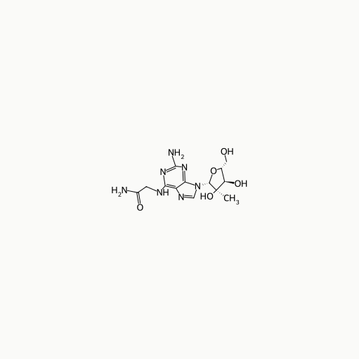 C[C@@]1(O)[C@H](O)[C@@H](CO)O[C@H]1n1cnc2c(NCC(N)=O)nc(N)nc21